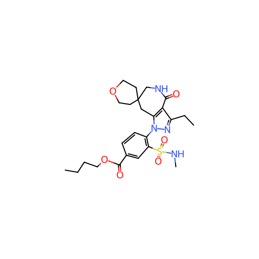 CCCCOC(=O)c1ccc(-n2nc(CC)c3c2CC2(CCOCC2)CNC3=O)c(S(=O)(=O)NC)c1